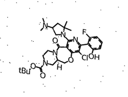 CN(C)C1CN(c2nc(-c3c(O)cccc3F)c(Cl)c3c2C(=O)N2CCN(C(=O)OC(C)(C)C)C[C@@H]2CO3)C(C)(C)C1